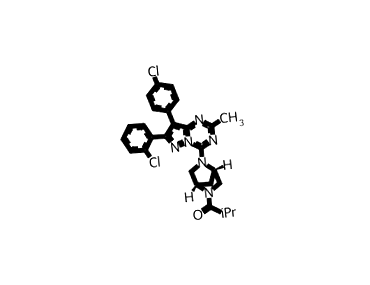 Cc1nc(N2C[C@@H]3C[C@H]2CN3C(=O)C(C)C)n2nc(-c3ccccc3Cl)c(-c3ccc(Cl)cc3)c2n1